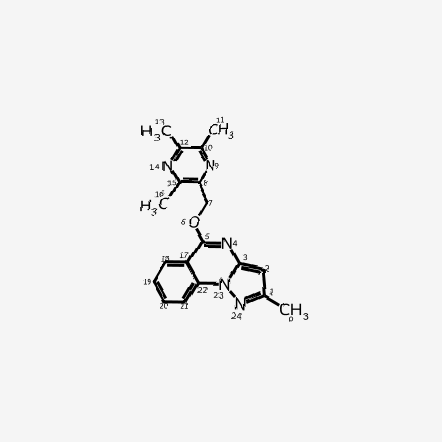 Cc1cc2nc(OCc3nc(C)c(C)nc3C)c3ccccc3n2n1